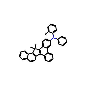 Cc1ccccc1N(c1ccccc1)c1ccc2c3c(c4ccccc4c2c1)-c1ccc2ccccc2c1C3(C)C